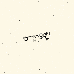 CCOC(C1=CCC(CNCCCc2ccccc2)O1)=C1CC1